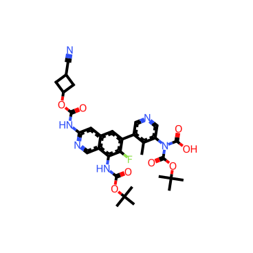 Cc1c(-c2cc3cc(NC(=O)OC4CC(C#N)C4)ncc3c(NC(=O)OC(C)(C)C)c2F)cncc1N(C(=O)O)C(=O)OC(C)(C)C